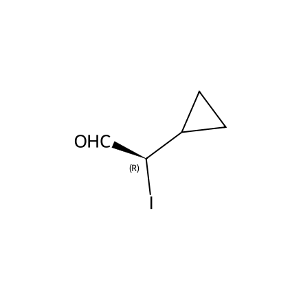 O=C[C@H](I)C1CC1